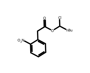 CCCCC(Cl)OC(=O)Cc1ccccc1[N+](=O)[O-]